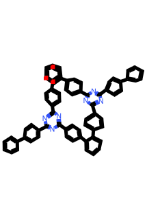 c1ccc(-c2ccc(-c3nc(-c4ccc(-c5ccccc5)cc4)nc(-c4ccc(-c5ccccc5-c5ccc(-c6nc(-c7ccc(-c8ccccc8)cc7)nc(-c7ccc(-c8ccccc8)cc7)n6)cc5)cc4)n3)cc2)cc1